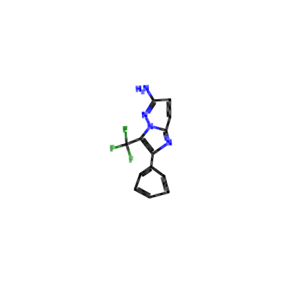 Nc1ccc2nc(-c3ccccc3)c(C(F)(F)F)n2n1